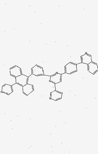 c1cncc(-c2cc(-c3ccc(-c4cncc5ccccc45)cc3)nc(-c3cccc(-c4c5ccccc5c(-c5ccncc5)c5ccccc45)c3)n2)c1